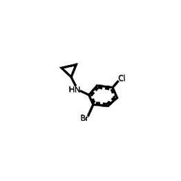 Clc1ccc(Br)c(NC2CC2)c1